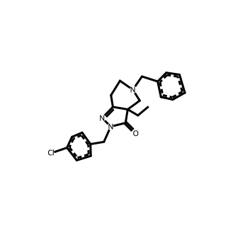 CCC12CN(Cc3ccccc3)CCC1=NN(Cc1ccc(Cl)cc1)C2=O